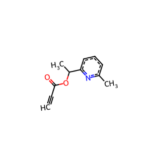 C#CC(=O)OC(C)c1cccc(C)n1